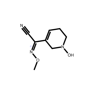 CO/N=C(/C#N)C1=CCCN(O)C1